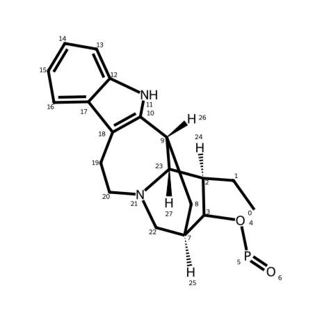 CC[C@H]1C(OP=O)[C@@H]2C[C@H]3c4[nH]c5ccccc5c4CCN(C2)[C@H]31